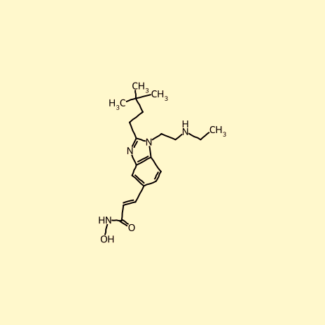 CCNCCn1c(CCC(C)(C)C)nc2cc(C=CC(=O)NO)ccc21